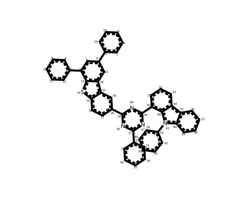 c1ccc(-c2cc(-c3ccccc3)c3sc4ccc(-c5nc(-c6ccccc6)nc(-c6cccc7c8ccccc8n(-c8ccccc8)c67)n5)cc4c3c2)cc1